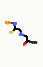 COC(=O)CNCC(S)NP